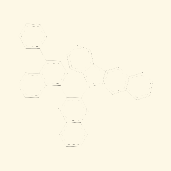 c1ccc(-c2ccc(-c3nc4ccccc4nc3-n3c4ccccc4c4cc5ccccc5cc43)c3ccccc23)cc1